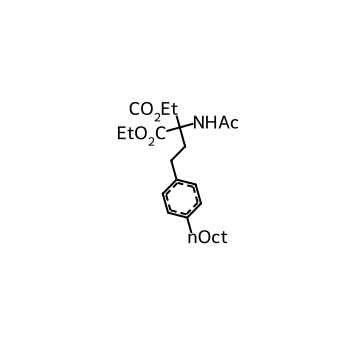 CCCCCCCCc1ccc(CCC(NC(C)=O)(C(=O)OCC)C(=O)OCC)cc1